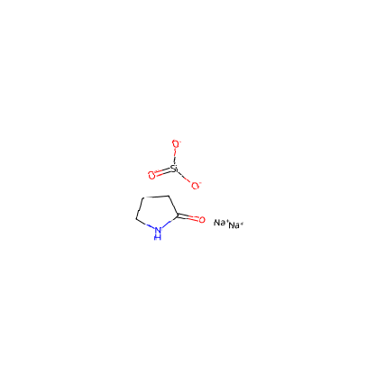 O=C1CCCN1.O=[Si]([O-])[O-].[Na+].[Na+]